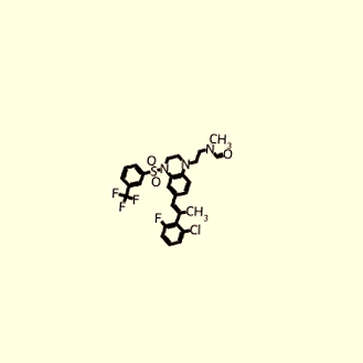 C/C(=C\c1ccc2c(c1)N(S(=O)(=O)c1cccc(C(F)(F)F)c1)CCN2CCN(C)C=O)c1c(F)cccc1Cl